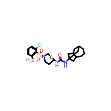 Cc1cccc(Cl)c1S(=O)(=O)N1CCC(NC(=O)NC23CC4CCCC(C2)C(C4)C3)CC1